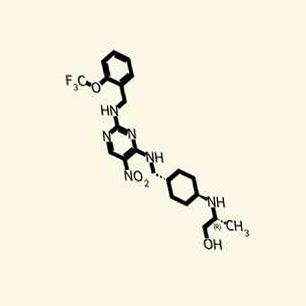 C[C@H](CO)N[C@H]1CC[C@H](CNc2nc(NCc3ccccc3OC(F)(F)F)ncc2[N+](=O)[O-])CC1